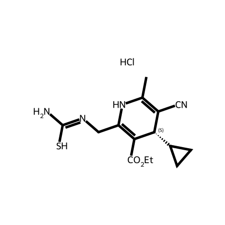 CCOC(=O)C1=C(CN=C(N)S)NC(C)=C(C#N)[C@@H]1C1CC1.Cl